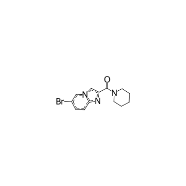 O=C(c1cn2cc(Br)ccc2n1)N1CCCCC1